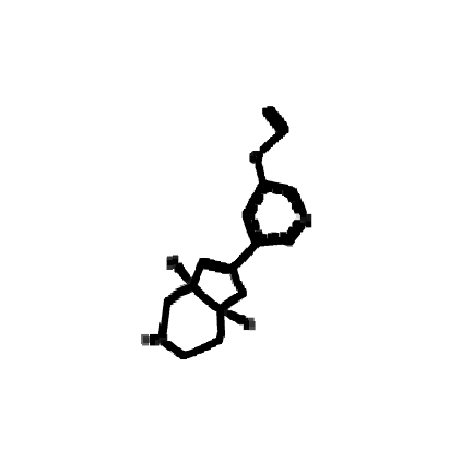 C=COc1cncc(C2=C[C@H]3CNCC[C@H]3C2)c1